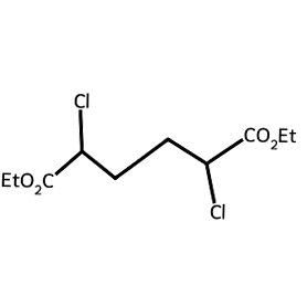 CCOC(=O)C(Cl)CCC(Cl)C(=O)OCC